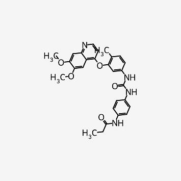 CCC(=O)Nc1ccc(NC(=O)Nc2ccc(C)c(Oc3ccnc4cc(OC)c(OC)cc34)c2)cc1